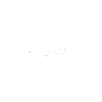 ICOc1ccc([C@@H]2COc3cc(OCc4ccccc4)ccc3N2)cc1